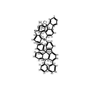 CC1(C)c2ccccc2-c2ccc(N(c3ccc4c(c3)C3(c5ccccc5)c5ccccc5N(c5ccccc5)c5c(-c6ccccc6)ccc-4c53)c3cccc4sc5ccccc5c34)cc21